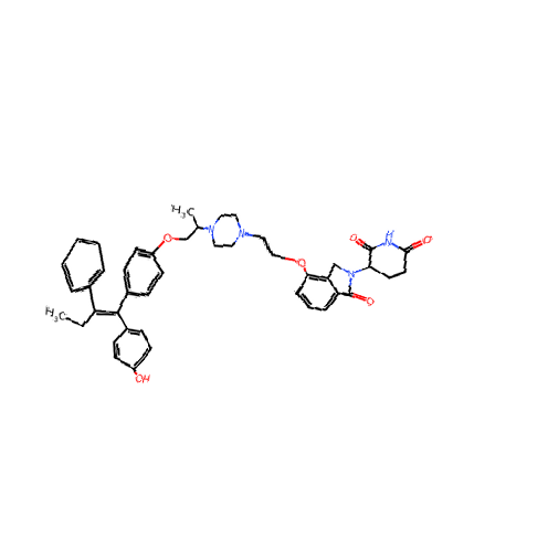 CC/C(=C(\c1ccc(O)cc1)c1ccc(OCC(C)N2CCN(CCOc3cccc4c3CN(C3CCC(=O)NC3=O)C4=O)CC2)cc1)c1ccccc1